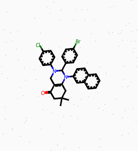 CC1(C)CC(=O)C2=C(C1)N(c1ccc3ccccc3c1)C(c1ccc(Br)cc1)N(c1ccc(Cl)cc1)C2